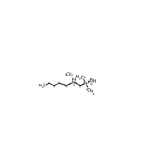 CCCCCNC[N+](C)(C)O.[Cl-]